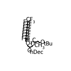 CCCCCCCCCCOC(COCC(F)(F)C(F)(F)C(F)(F)C(F)(F)C(F)(F)C(F)(F)C(F)(F)C(F)(F)F)COC(C)(C)CCOC(C)(C)C